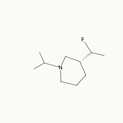 CC(F)[C@@H]1CCCN(C(C)C)C1